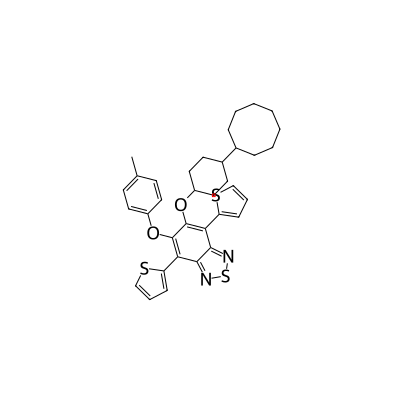 Cc1ccc(Oc2c(OC3CCC(C4CCCCCCC4)CC3)c(-c3cccs3)c3nsnc3c2-c2cccs2)cc1